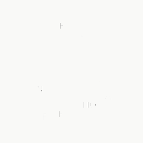 Cc1cc(F)cc(C)c1C1=C(c2ccc(CC3CCN(CCC(F)F)C3)cc2)c2ccc(C(=O)O)cc2CCC1